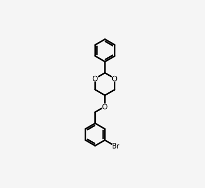 Brc1cccc(COC2COC(c3ccccc3)OC2)c1